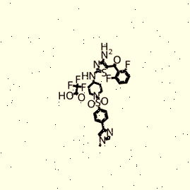 Cn1cnc(-c2ccc(S(=O)(=O)N3CCC(Nc4nc(N)c(C(=O)c5c(F)cccc5F)s4)CC3)cc2)c1.O=C(O)C(F)(F)F